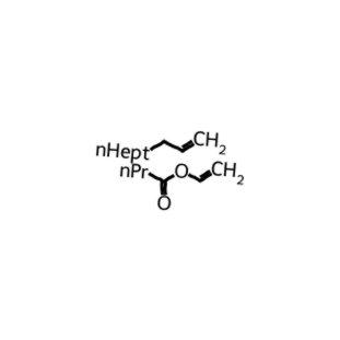 C=CCCCCCCCC.C=COC(=O)CCC